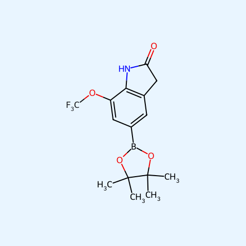 CC1(C)OB(c2cc3c(c(OC(F)(F)F)c2)NC(=O)C3)OC1(C)C